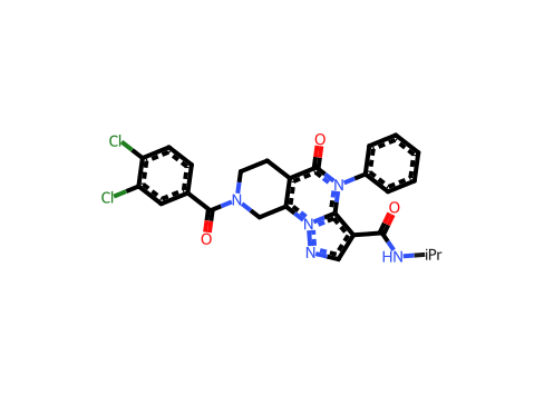 CC(C)NC(=O)c1cnn2c3c(c(=O)n(-c4ccccc4)c12)CCN(C(=O)c1ccc(Cl)c(Cl)c1)C3